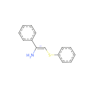 N/C(=C\Sc1ccccc1)c1ccccc1